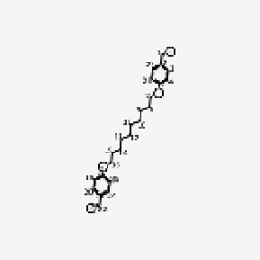 O=Cc1ccc(OCCCCCCCCCCOc2ccc(C=O)cc2)cc1